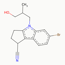 CC(CO)Cn1c2c(c3ccc(Br)cc31)C(C#N)CC2